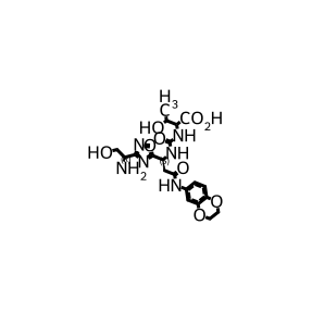 CC(O)C(NC(=O)N[C@@H](CC(=O)Nc1ccc2c(c1)OCCO2)c1nc([C@@H](N)CO)no1)C(=O)O